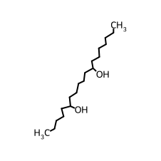 CCCCCCCC(O)CCCCCC(O)CCCCC